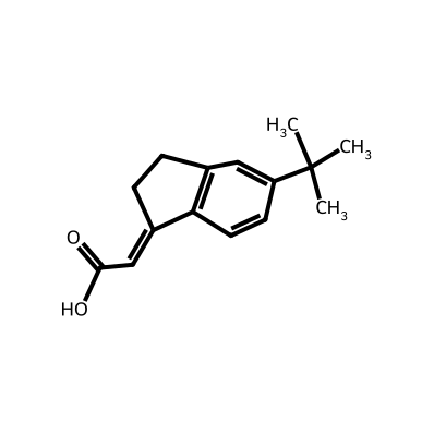 CC(C)(C)c1ccc2c(c1)CC/C2=C\C(=O)O